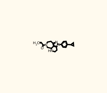 C=CC(=O)N1CCc2nn(-c3ccc(C4CC4)cc3)c3c2C(C1)NCC3